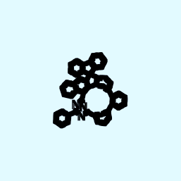 c1ccc(-c2nc3nc(n2)-c2c4c(cc5ccccc25)C2(c5ccccc5-c5ccccc52)c2ccc(cc2-4)-c2ccccc2-c2cccc-3c2)cc1